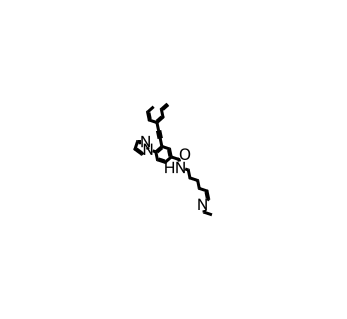 C=C/C=C(C#Cc1cc(C(=O)NCCCC/C=C\N=C/C)ccc1-n1cccn1)\C=C/C